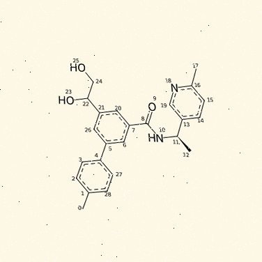 Cc1ccc(-c2cc(C(=O)N[C@H](C)c3ccc(C)nc3)cc(C(O)CO)c2)cc1